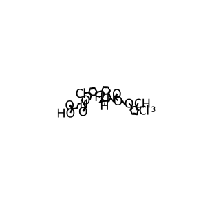 Cc1c(Cl)cccc1OCCOC(=O)N1C[C@@H]2C[C@@H]2c2c(-c3ccc(Cl)c(CON(C=O)CCC(=O)O)c3)cccc21